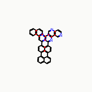 c1ccc(-c2cc(-c3ccc(-c4cccc5cccc(-c6ccc(-c7cc(-c8ccccc8)nc(-c8cccnc8)n7)cc6)c45)cc3)nc(-c3cccnc3)n2)cc1